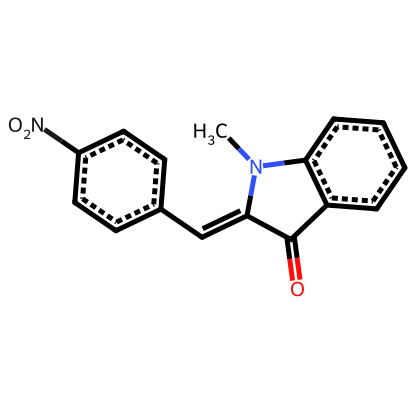 CN1C(=Cc2ccc([N+](=O)[O-])cc2)C(=O)c2ccccc21